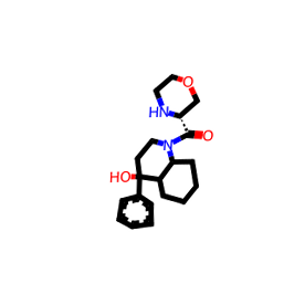 O=C([C@H]1COCCN1)N1CCC(O)(c2ccccc2)C2CCCCC21